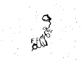 Cc1cc(F)c(F)c(CN2CCN(C(=O)CNC(=O)CCCC3CC4CC=C3C4)CC2)c1